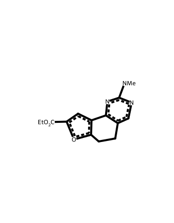 CCOC(=O)c1cc2c(o1)CCc1cnc(NC)nc1-2